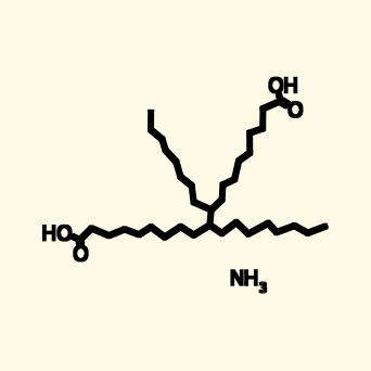 CCCCCCCCC(CCCCCCCCC(=O)O)C(CCCCCCCC)CCCCCCCCC(=O)O.N